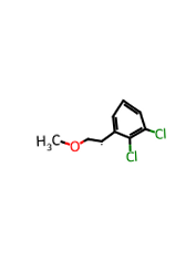 COC[CH]c1cccc(Cl)c1Cl